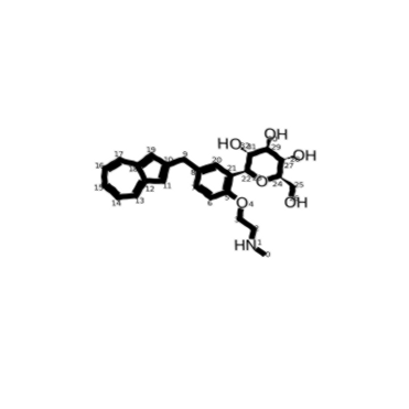 CNCCOc1ccc(Cc2cc3cccccc-3c2)cc1[C@@H]1O[C@H](CO)[C@@H](O)[C@H](O)[C@H]1O